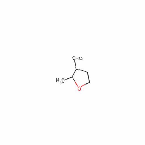 CC1OCCC1C=O